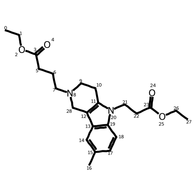 CCOC(=O)CCCN1CCc2c(c3cc(C)ccc3n2CCC(=O)OCC)C1